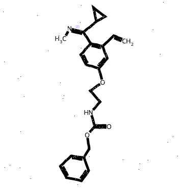 C=Cc1cc(OCCNC(=O)OCc2ccccc2)ccc1/C(=N\C)C1CC1